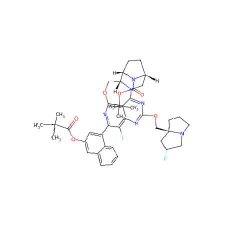 CC(C)(C)OC(=O)N1[C@@H]2CC[C@H]1[C@H]1COc3nc(-c4cc(OC(=O)C(C)(C)C)cc5ccccc45)c(F)c4nc(OC[C@@]56CCCN5C[C@H](F)C6)nc(c34)N1C2